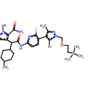 CCCn1ncc(C(C(=O)Nc2ccc(-c3c(C)nn(COCC[Si](C)(C)C)c3CC)c(F)n2)C2CCC(C)CC2)c1C(N)=O